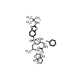 CC(C)CN(C[C@@H](O)[C@H](Cc1ccccc1)NC(=O)O[C@H]1CO[C@H]2OCC[C@H]21)S(=O)(=O)c1ccc2nc(NC(C)(C)C)sc2c1